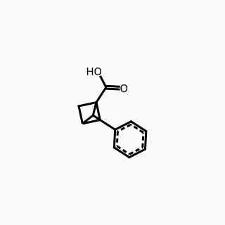 O=C(O)C12CC(C1)C2c1ccccc1